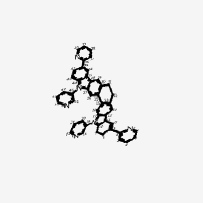 C1=C(c2ccccn2)CCc2c1c1cc3c(cc1n2-c1cccnc1)-c1cc2c(cc1CC3)c1cc(-c3ccccn3)ccc1n2-c1cccnc1